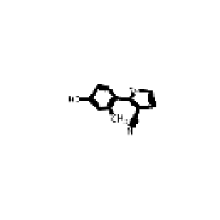 Cc1cc(O)ccc1-c1[se]ccc1C#N